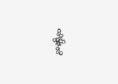 c1ccc(-c2nc(-c3ccc4oc5ccccc5c4c3)nc(-c3ccccc3-n3c4ccccc4c4c5oc6ccccc6c5ccc43)n2)cc1